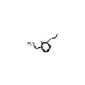 CCCc1cccc(CN)c1F